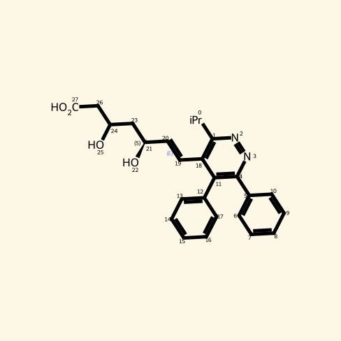 CC(C)c1nnc(-c2ccccc2)c(-c2ccccc2)c1/C=C/[C@@H](O)CC(O)CC(=O)O